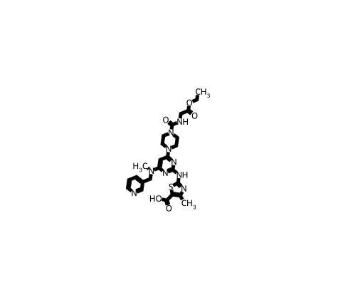 CCOC(=O)CNC(=O)N1CCN(c2cc(N(C)Cc3cccnc3)nc(Nc3nc(C)c(C(=O)O)s3)n2)CC1